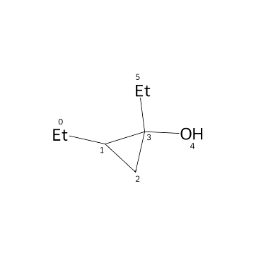 CCC1CC1(O)CC